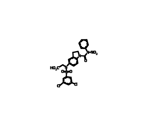 O=C(O)CN(c1ccc2c(c1)CCN2C(=O)N(c1ccccc1)[N+](=O)[O-])S(=O)(=O)c1cc(Cl)cc(Cl)c1